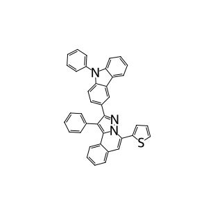 c1ccc(-c2c(-c3ccc4c(c3)c3ccccc3n4-c3ccccc3)nn3c(-c4cccs4)cc4ccccc4c23)cc1